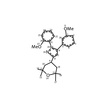 COc1cccc(-c2cc(C3CC(C)(C)OC(C)(C)C3)nn2-c2ccccc2OC)c1